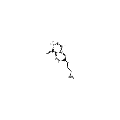 NCCCc1ccc2c(=O)[nH]cnc2c1